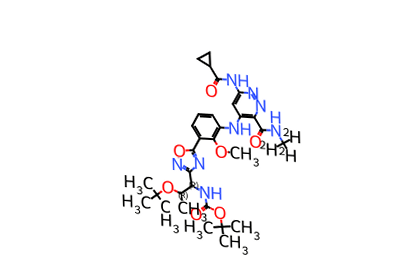 [2H]C([2H])([2H])NC(=O)c1nnc(NC(=O)C2CC2)cc1Nc1cccc(-c2nc([C@@H](NC(=O)OC(C)(C)C)[C@@H](C)OC(C)(C)C)no2)c1OC